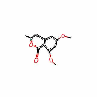 COc1cc(OC)c2c(=O)oc(C)cc2c1